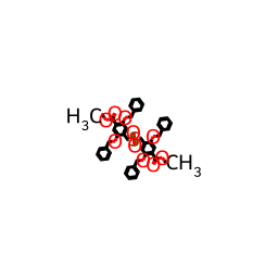 CCOC(=O)c1cc(OCc2ccccc2)c(CS(=O)(=O)Cc2cc(OCc3ccccc3)c(C(=O)OCC)cc2OCc2ccccc2)cc1OCc1ccccc1